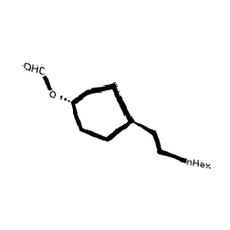 CCCCCCCC[C@H]1CC[C@H](O[C]=O)CC1